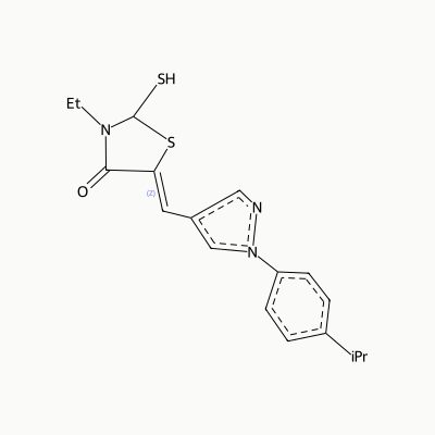 CCN1C(=O)/C(=C/c2cnn(-c3ccc(C(C)C)cc3)c2)SC1S